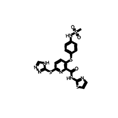 CS(=O)(=O)Nc1ccc(Sc2ccc(Sc3nnc[nH]3)nc2C(=O)Nc2nccs2)cc1